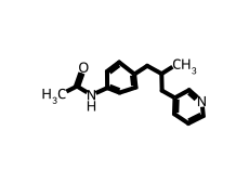 CC(=O)Nc1ccc(CC(C)Cc2cccnc2)cc1